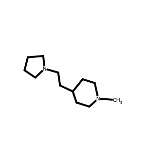 CN1CCC(CCN2CCCC2)CC1